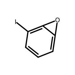 Ic1cccc2c1O2